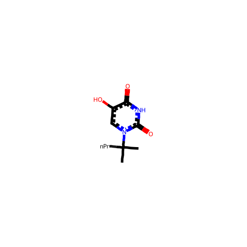 CCCC(C)(C)n1cc(O)c(=O)[nH]c1=O